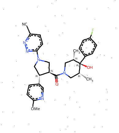 COc1ccc([C@@H]2CN(c3ccc(C#N)nn3)C[C@H]2C(=O)N2C[C@@H](C)[C@@](O)(c3ccc(F)cc3)[C@@H](C)C2)cn1